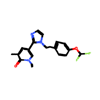 Cc1cc(-c2nccn2Cc2ccc(OC(F)F)cc2)cn(C)c1=O